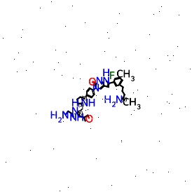 Cc1cc(CCC[C@H](C)N)cc(-c2cc3cn(-c4ccc([C@@H]5CCC[C@@H](C[C@@H](CC6COC6)NC(=N)CN)N5)cc4)c(=O)nc3[nH]2)c1F